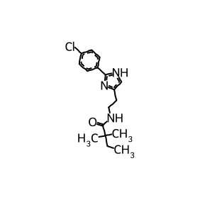 CCC(C)(C)C(=O)NCCc1c[nH]c(-c2ccc(Cl)cc2)n1